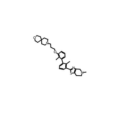 Cc1c(OCCCN2CCC3(CCOCC3)CC2)cccc1-c1cccc(-c2nc3c(s2)CCN(C)C3)c1C